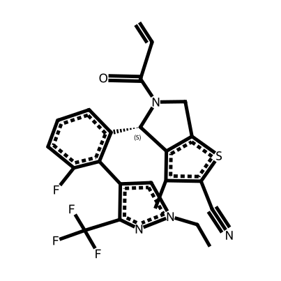 C=CC(=O)N1Cc2sc(C#N)c(C)c2[C@@H]1c1cccc(F)c1-c1cn(CC)nc1C(F)(F)F